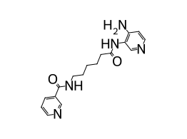 Nc1ccncc1NC(=O)CCCCCNC(=O)c1cccnc1